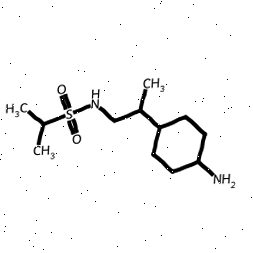 CC(CNS(=O)(=O)C(C)C)C1CCC(N)CC1